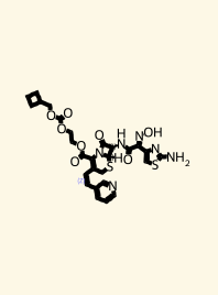 Nc1nc(C(=NO)C(=O)N[C@@H]2C(=O)N3C(C(=O)OCCOC(=O)OCC4CCC4)=C(/C=C\c4cccnc4)CS[C@@H]23)cs1